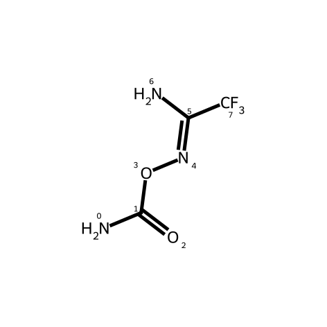 NC(=O)ON=C(N)C(F)(F)F